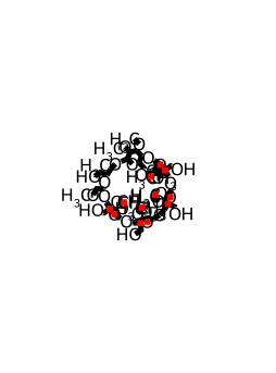 COCC1OC(CO)C(C)OC2OC(CO)C(OC3OC(CO)C(OC4OC(CO)C(OC5OC(CO)C(OC6OC(CO)C(O1)C(OC)C6OC)C(OC)C5OC)C(OC)C4OC)C(OC)C3OC)C(OC)C2OC